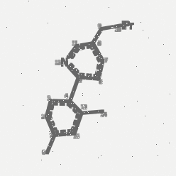 Cc1ccc(-c2ccc(CC(C)C)cn2)c(C)c1